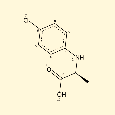 C[C@H](Nc1ccc(Cl)cc1)C(=O)O